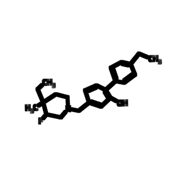 CCc1ccc(-c2ccc(CN3CCC(C)(CC)C(F)C3)cc2O)cc1